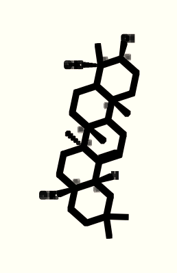 CC1(C)CC[C@]2(C=O)CC[C@]3(C)C(=CCC4[C@@]5(C)CC[C@H](O)[C@@](C)(C=O)C5CC[C@]43C)[C@@H]2C1